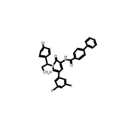 O=C(O)CC(c1ccc(Cl)cc1)n1cc(-c2cc(F)cc(F)c2)cc(NC(=O)c2ccc(-c3ccccc3)cc2)c1=O